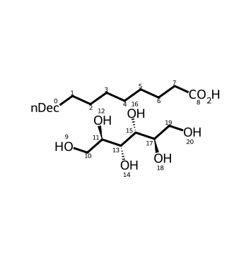 CCCCCCCCCCCCCCCCCC(=O)O.OC[C@@H](O)[C@@H](O)[C@H](O)[C@H](O)CO